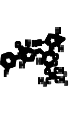 CC(C)(C)OC(=O)N[C@@H](CN1C[C@@H]2C[C@H]1C(=O)N2c1cccc(F)c1)C(=O)N1[C@H](C#N)C[C@@H]2C[C@@H]21